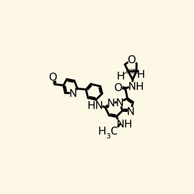 CNc1cc(Nc2cccc(-c3ccc(C=O)cn3)c2)nn2c(C(=O)NC3[C@H]4COC[C@@H]34)cnc12